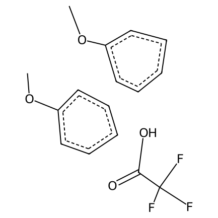 COc1ccccc1.COc1ccccc1.O=C(O)C(F)(F)F